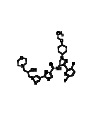 CCOC1CCC(n2cc(NC(=O)c3csc(-c4cnn(CC(O)CN5CCOCC5)c4)n3)c(-c3nc(F)ccc3F)n2)CC1